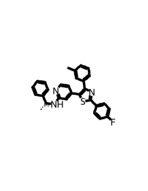 Cc1cccc(-c2nc(-c3ccc(F)cc3)sc2-c2ccnc(N[C@H](C)c3ccccc3)c2)c1